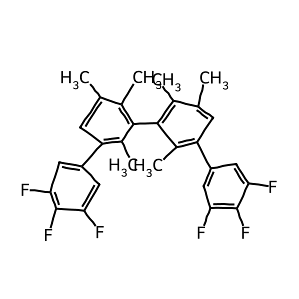 Cc1cc(-c2cc(F)c(F)c(F)c2)c(C)c(-c2c(C)c(C)cc(-c3cc(F)c(F)c(F)c3)c2C)c1C